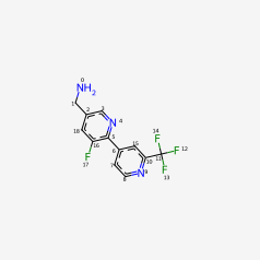 NCc1cnc(-c2ccnc(C(F)(F)F)c2)c(F)c1